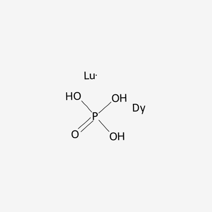 O=P(O)(O)O.[Dy].[Lu]